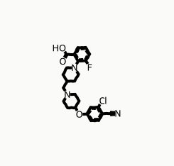 N#Cc1ccc(OC2CCN(CC3CCN(c4c(F)cccc4C(=O)O)CC3)CC2)cc1Cl